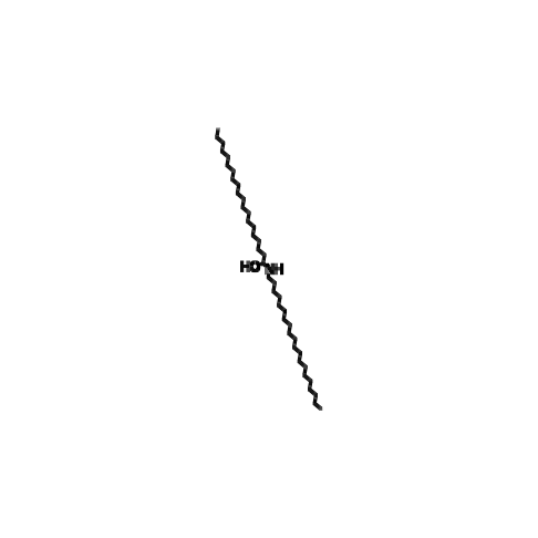 CCCCCCCCCCCCCCCCCCCCNC(O)CCCCCCCCCCCCCCCCCCC